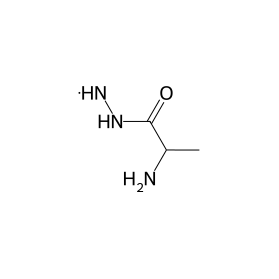 CC(N)C(=O)N[NH]